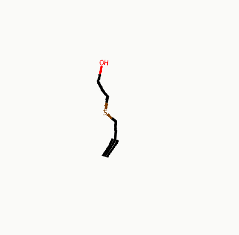 C#CCSCCO